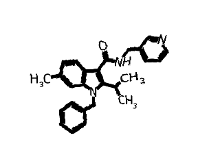 Cc1ccc2c(C(=O)NCc3cccnc3)c(C(C)C)n(Cc3ccccc3)c2c1